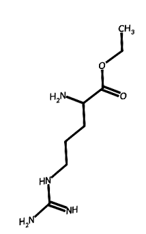 CCOC(=O)C(N)CCCNC(=N)N